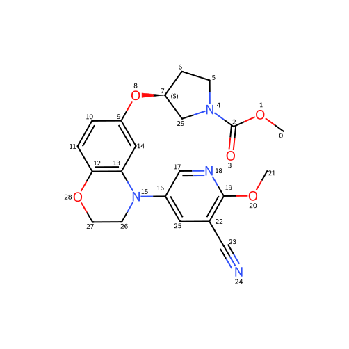 COC(=O)N1CC[C@H](Oc2ccc3c(c2)N(c2cnc(OC)c(C#N)c2)CCO3)C1